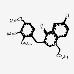 COc1ccc(Cc2cn(CC(=O)O)c3ccc(Cl)cc3c2=O)c(OC)c1OC